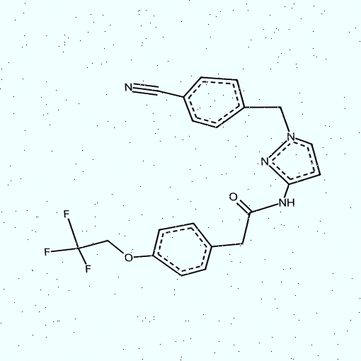 N#Cc1ccc(Cn2ccc(NC(=O)Cc3ccc(OCC(F)(F)F)cc3)n2)cc1